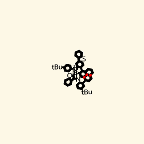 CC(C)(C)c1ccc(Nc2cc3c(cc2-c2c4c(cc5ccccc25)N(c2ccc(C(C)(C)C)cc2-c2ccccc2)c2c(oc5ccccc25)B4)sc2ccccc23)cc1